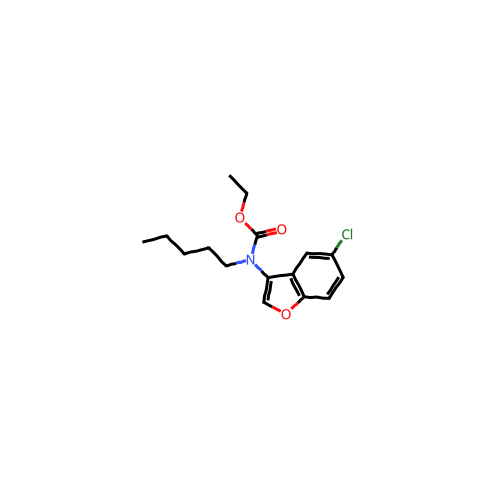 CCCCCN(C(=O)OCC)c1coc2ccc(Cl)cc12